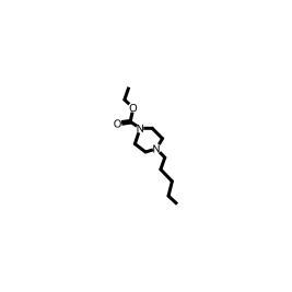 CCCCCN1CCN(C(=O)OCC)CC1